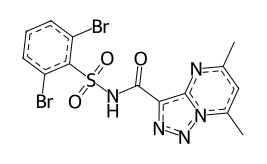 Cc1cc(C)n2nnc(C(=O)NS(=O)(=O)c3c(Br)cccc3Br)c2n1